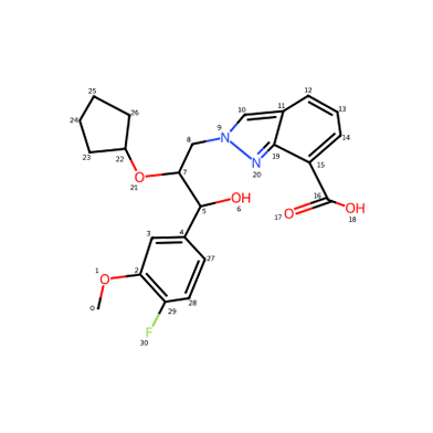 COc1cc(C(O)C(Cn2cc3cccc(C(=O)O)c3n2)OC2CCCC2)ccc1F